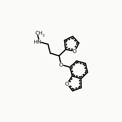 CNCCC(Oc1cccc2ccoc12)c1ccco1